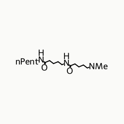 CCCCCNC(=O)CCCCNC(=O)CCCCNC